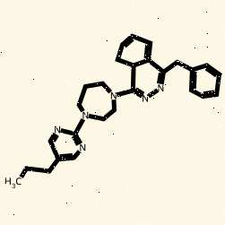 CCCc1cnc(N2CCCN(C3=NN=C(Cc4ccccc4)C4=CC=CCC43)CC2)nc1